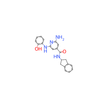 Nc1cc(C(=O)NC2Cc3ccccc3C2)cc(Nc2ccccc2O)n1